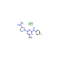 CCCc1cc(N2CCC(NCC)C2)nc(Nc2ccc(F)cc2)n1.Cl.Cl